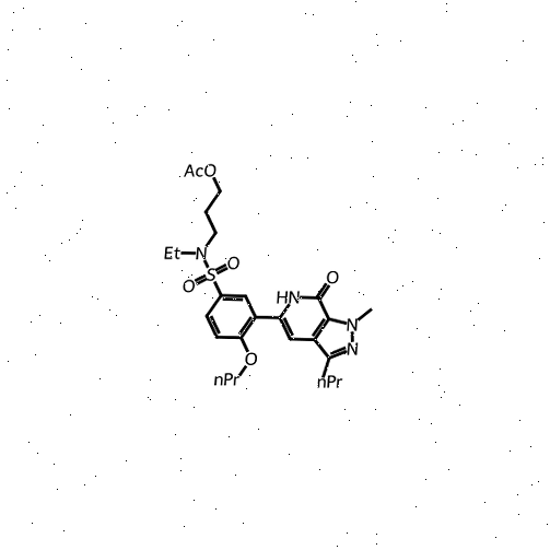 CCCOc1ccc(S(=O)(=O)N(CC)CCCOC(C)=O)cc1-c1cc2c(CCC)nn(C)c2c(=O)[nH]1